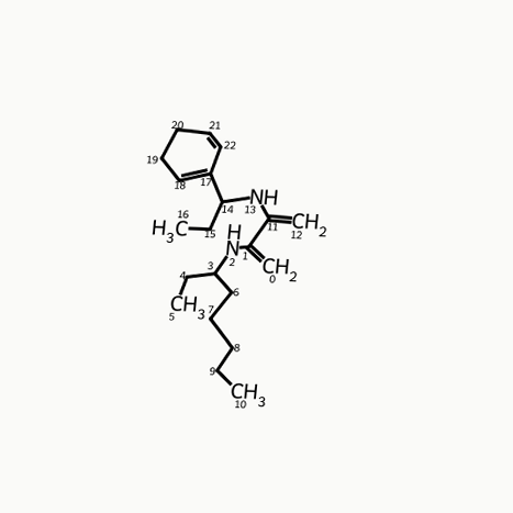 C=C(NC(CC)CCCCC)C(=C)NC(CC)C1=CCCC=C1